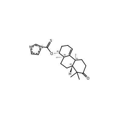 CC1(C)C(=O)CC[C@]2(C)C3=CCC[C@@H](OC(=S)n4ccnc4)[C@]3(C)CC[C@@H]12